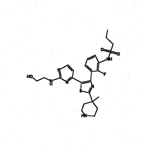 CCCS(=O)(=O)Nc1cccc(-c2nc(C3(C)CCNCC3)sc2-c2ccnc(NCCO)n2)c1F